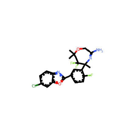 CC1(C)OCC(N)=NC(C)(c2cc(-c3nc4ccc(Cl)cc4o3)ccc2F)C1(F)F